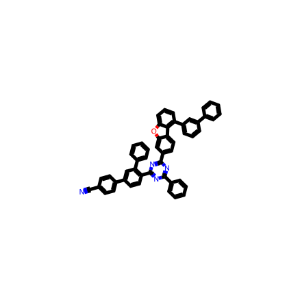 N#Cc1ccc(-c2ccc(-c3nc(-c4ccccc4)nc(-c4ccc5c(c4)oc4cccc(-c6cccc(-c7ccccc7)c6)c45)n3)c(-c3ccccc3)c2)cc1